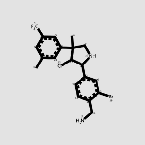 Cc1cc(C(F)(F)F)cc(C2(C)CNC(c3ccc(CN)c(Br)c3)C2Cl)c1